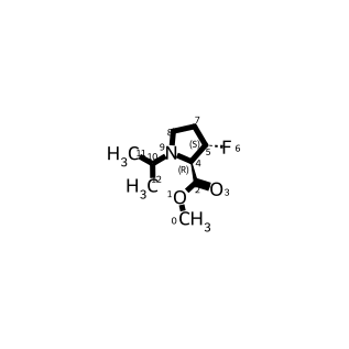 COC(=O)[C@@H]1[C@@H](F)CCN1C(C)C